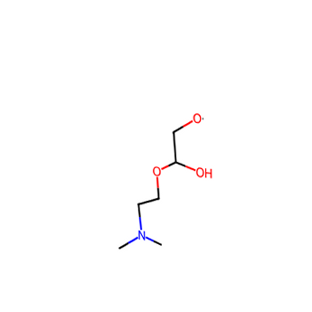 CN(C)CCOC(O)C[O]